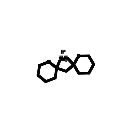 [H+].[SiH3]C1(CC2([SiH3])CCCCO2)CCCCO1